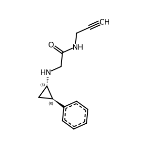 C#CCNC(=O)CN[C@H]1C[C@@H]1c1ccccc1